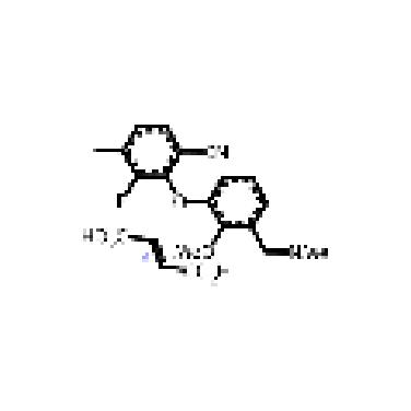 CNCc1cccc(Oc2c(C#N)ccc(C)c2F)c1OC.O=C(O)/C=C/C(=O)O